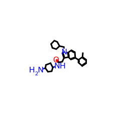 Cc1ccccc1-c1ccc2c(c1)c(CC(=O)NC1CCC(N)CC1)cn2CC1CCCCC1